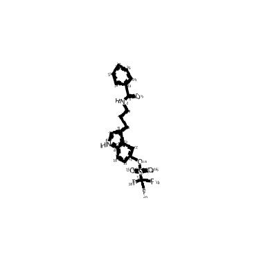 O=C(NCCCc1c[nH]c2ccc(OS(=O)(=O)C(F)(F)F)cc12)c1ccccc1